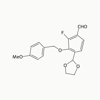 COc1ccc(COc2c(C3OCCO3)ccc(C=O)c2F)cc1